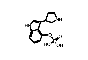 O=P(O)(O)Oc1cccc2[nH]cc(C3CCNC3)c12